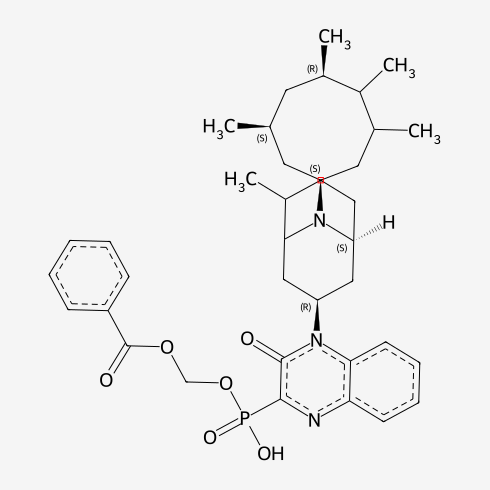 CC1C[C@@H](N2C3C[C@H](n4c(=O)c(P(=O)(O)OCOC(=O)c5ccccc5)nc5ccccc54)C[C@@H]2CCC3C)C[C@@H](C)C[C@@H](C)C1C